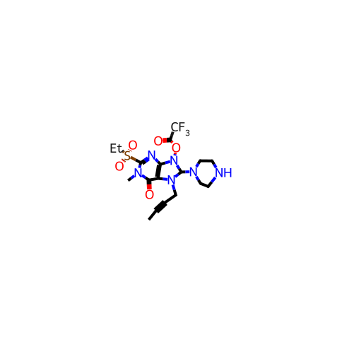 CC#CCN1c2c(nc(S(=O)(=O)CC)n(C)c2=O)N(OC(=O)C(F)(F)F)C1N1CCNCC1